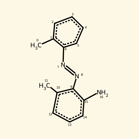 Cc1ccccc1N=Nc1c(C)cccc1N